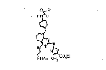 CCOC(=O)c1sc(Nc2nc(NCCNC(C)=O)c3c(n2)N(Cc2ccc(NS(=O)(=O)C(C)C)cc2)CCC3)nc1C